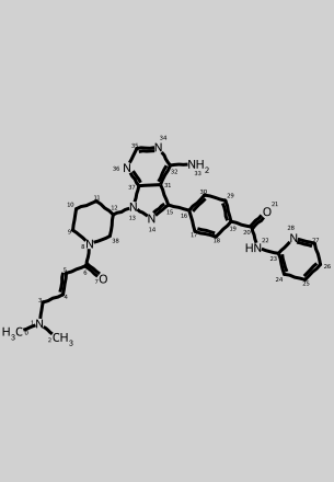 CN(C)CC=CC(=O)N1CCCC(n2nc(-c3ccc(C(=O)Nc4ccccn4)cc3)c3c(N)ncnc32)C1